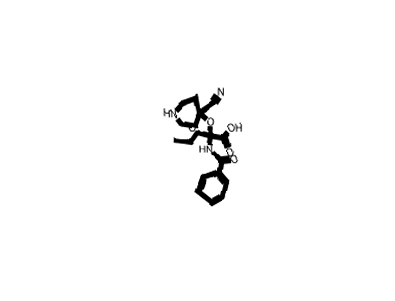 CCC(=O)C(NC(=O)c1ccccc1)(OC1(C#N)CCNCC1)C(=O)O